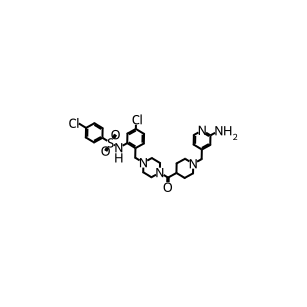 Nc1cc(CN2CCC(C(=O)N3CCN(Cc4ccc(Cl)cc4NS(=O)(=O)c4ccc(Cl)cc4)CC3)CC2)ccn1